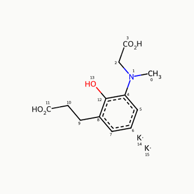 CN(CC(=O)O)c1cccc(CCC(=O)O)c1O.[K].[K]